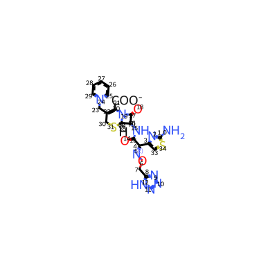 Nc1nc(/C(=N\OCc2nnn[nH]2)C(=O)N[C@@H]2C(=O)N3C(C(=O)[O-])=C(C[n+]4ccccc4)CS[C@H]23)cs1